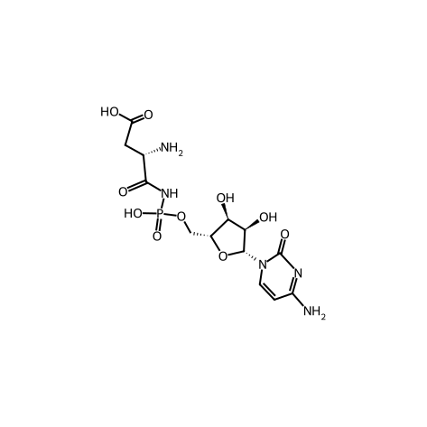 Nc1ccn([C@@H]2O[C@H](COP(=O)(O)NC(=O)[C@@H](N)CC(=O)O)[C@@H](O)[C@H]2O)c(=O)n1